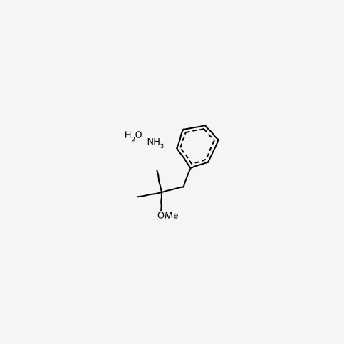 COC(C)(C)Cc1ccccc1.N.O